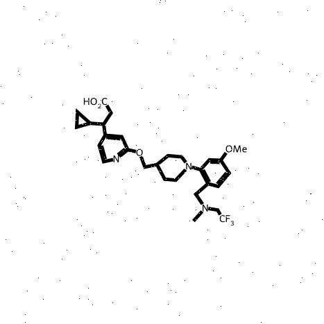 COc1ccc(CN(C)CC(F)(F)F)c(N2CCC(COc3cc(C(CC(=O)O)C4CC4)ccn3)CC2)c1